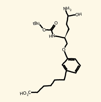 CC(C)(C)OC(=O)N[C@@H](CCC(N)O)COc1cccc(CCCCCC(=O)O)c1